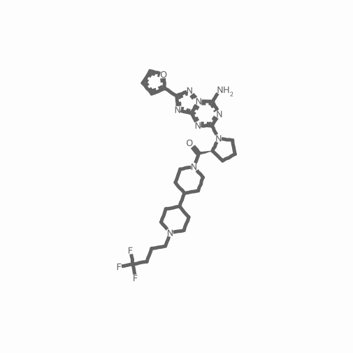 Nc1nc(N2CCC[C@H]2C(=O)N2CCC(C3CCN(CCCC(F)(F)F)CC3)CC2)nc2nc(-c3ccco3)nn12